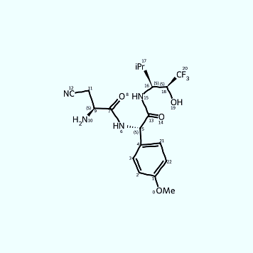 COc1ccc([C@H](NC(=O)[C@@H](N)CC#N)C(=O)N[C@@H](C(C)C)[C@H](O)C(F)(F)F)cc1